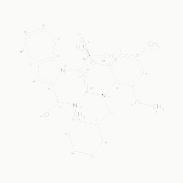 COc1cc(C)cc(OC)c1N(CC1CCCCC1)C(=O)N(C)C(=O)c1cc2ccccc2n1OC(C)=O